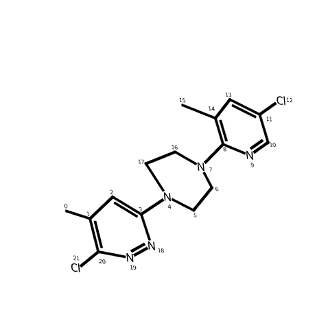 Cc1cc(N2CCN(c3ncc(Cl)cc3C)CC2)nnc1Cl